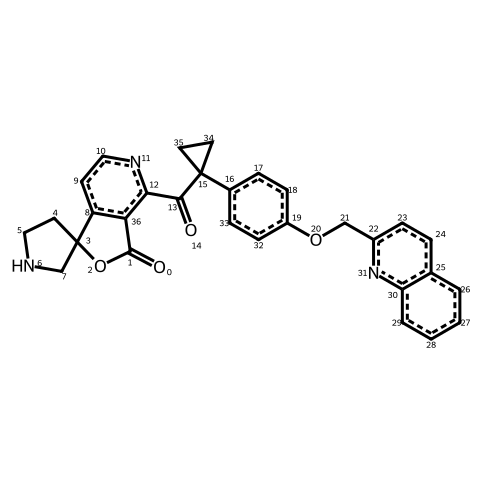 O=C1OC2(CCNC2)c2ccnc(C(=O)C3(c4ccc(OCc5ccc6ccccc6n5)cc4)CC3)c21